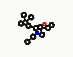 c1ccc(-c2ccc(N(c3cccc(-c4ccc5c(c4)c(-c4ccccc4)c(-c4ccccc4)c4ccccc45)c3)c3ccccc3-c3cccc4oc5c6ccccc6ccc5c34)cc2)cc1